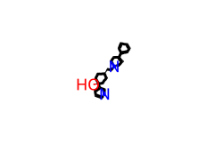 O[C@]1(c2cccnc2)CC[C@H](CCN2CC=C(c3ccccc3)CC2)CC1